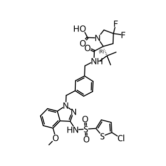 COc1cccc2c1c(NS(=O)(=O)c1ccc(Cl)s1)nn2Cc1cccc(CNC(=O)[C@]2(C(C)(C)C)CC(F)(F)CN2C(=O)O)c1